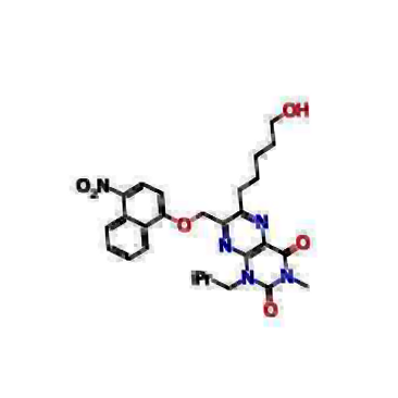 CC(C)Cn1c(=O)n(C)c(=O)c2nc(CCCCCO)c(COc3ccc([N+](=O)[O-])c4ccccc34)nc21